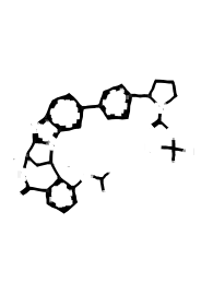 CC(C)(C)OC(=O)N1CCCC1c1ccc(-c2ccc3nc4n(c3c2)[C@@H]2C[C@H]4NC(=O)c3cccc(OC(F)F)c32)cc1